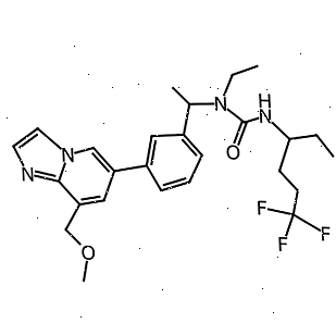 CCC(CCC(F)(F)F)NC(=O)N(CC)C(C)c1cccc(-c2cc(COC)c3nccn3c2)c1